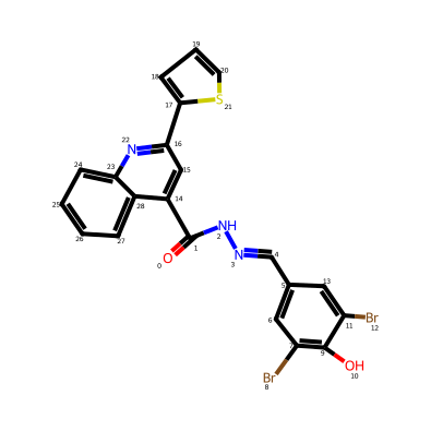 O=C(NN=Cc1cc(Br)c(O)c(Br)c1)c1cc(-c2cccs2)nc2ccccc12